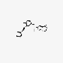 Cc1cncc(C#Cc2cc(C(=O)Nc3cc4n(n3)CCCC4(F)F)ccc2C)c1